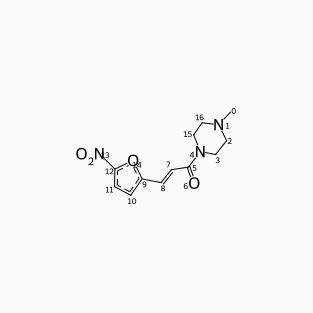 CN1CCN(C(=O)C=Cc2ccc([N+](=O)[O-])o2)CC1